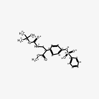 COC(=O)C(CNC(=O)OC(C)(C)C)c1ccc(OS(=O)(=O)c2ccccc2)cc1